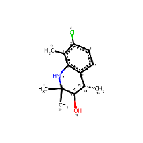 Cc1c(Cl)ccc2c1NC(C)(C)[C@H](O)[C@H]2C